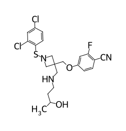 CC(O)CCNCC1(COc2ccc(C#N)c(F)c2)CN(Sc2ccc(Cl)cc2Cl)C1